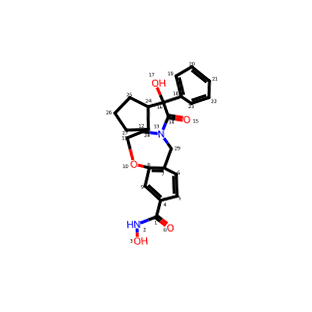 O=C(NO)c1ccc2c(c1)OCCN(C(=O)C(O)(c1ccccc1)C1CCCC1)C2